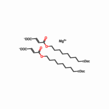 CCCCCCCCCCCCCCCCCCOC(=O)C=CC(=O)[O-].CCCCCCCCCCCCCCCCCCOC(=O)C=CC(=O)[O-].[Mg+2]